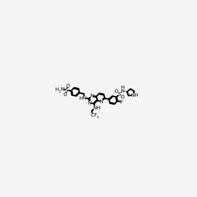 NS(=O)(=O)c1ccc(CNc2nc(NCC(F)(F)F)c3nc(-c4ccc(F)c(S(=O)(=O)N[C@@H]5CCNC5)c4)ccc3n2)cc1